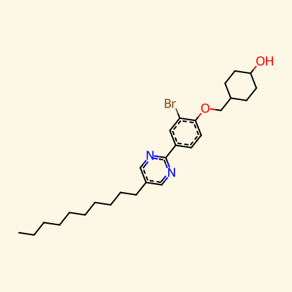 CCCCCCCCCCc1cnc(-c2ccc(OCC3CCC(O)CC3)c(Br)c2)nc1